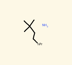 CCCC[CH]C(C)(C)C.N